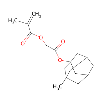 C=C(C)C(=O)OCC(=O)OC12CC3CC(CC(C)(C3)C1)C2